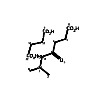 CN(C)NC(=O)CCC(=O)O.O=C(O)CCC(=O)O